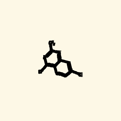 FC(F)(F)c1nc(Cl)c2ccc(Cl)cc2n1